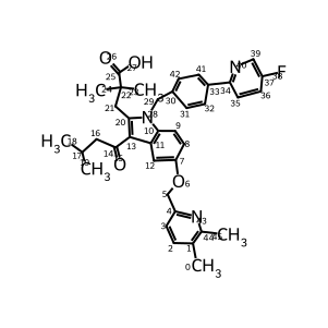 Cc1ccc(COc2ccc3c(c2)c(C(=O)CC(C)C)c(CC(C)(C)C(=O)O)n3Cc2ccc(-c3ccc(F)cn3)cc2)nc1C